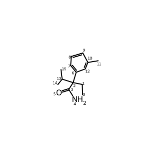 CCC(C(N)=O)(c1cccc(C)c1)C(C)C